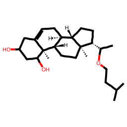 CC(C)CCOC(C)[C@H]1CC[C@H]2[C@@H]3CC=C4CC(O)CC(O)[C@]4(C)[C@H]3CC[C@]12C